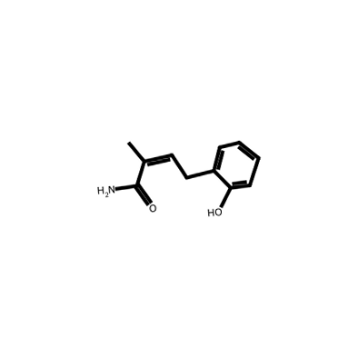 CC(=CCc1ccccc1O)C(N)=O